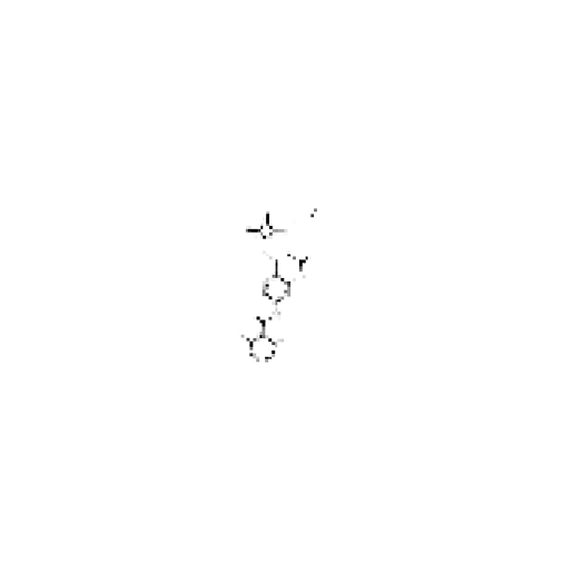 CCCNc1c(N[C@@H](CC(=O)O)c2ccc(NC(=O)c3c(Cl)cncc3Cl)cc2)c(=O)c1=O